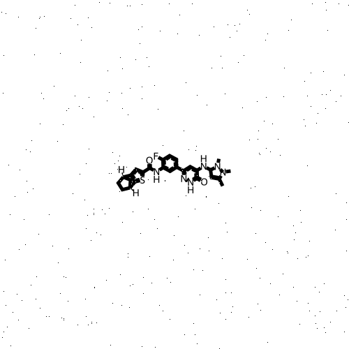 CC1=CC(Nc2cc(-c3ccc(F)c(NC(=O)c4cc5c(s4)[C@H]4CC[C@@H]5C4)c3)n[nH]c2=O)N(C)N1C